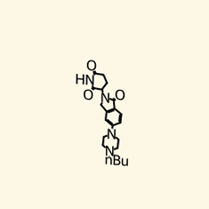 CCCCN1CCN(c2ccc3c(c2)CN(C2CCC(=O)NC2=O)C3=O)CC1